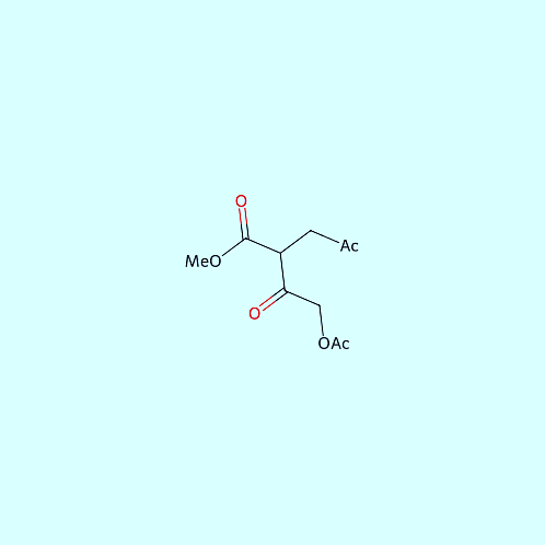 COC(=O)C(CC(C)=O)C(=O)COC(C)=O